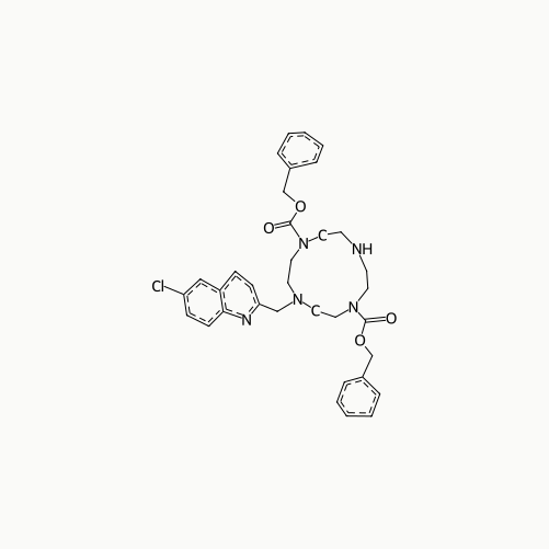 O=C(OCc1ccccc1)N1CCNCCN(C(=O)OCc2ccccc2)CCN(Cc2ccc3cc(Cl)ccc3n2)CC1